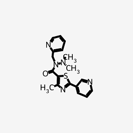 Cc1nc(-c2cccnc2)sc1C(=O)N(Cc1ccccn1)N(C)C